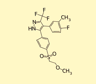 COCCS(=O)(=O)c1ccc(-c2[nH]nc(C(F)(F)F)c2-c2ccc(F)c(C)c2)cc1